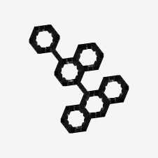 c1ccc(-c2ccc(-c3c4ccccc4cc4ccccc34)c3ccccc23)cc1